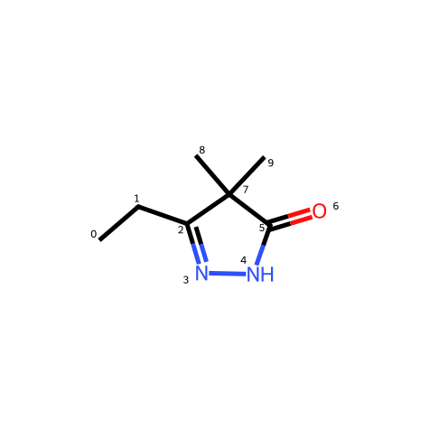 CCC1=NNC(=O)C1(C)C